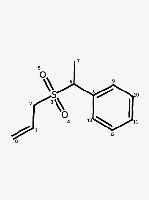 C=CCS(=O)(=O)C(C)c1ccccc1